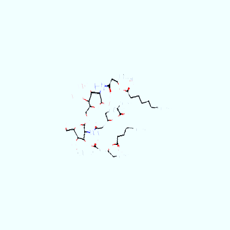 CCCCCCCCCCCCCCCC(=O)O[C@H](CCCCCCCCC)CC(=O)NC1C(O)OC(COC2OC(CO)C(OC=O)C(OC(=O)C[C@@H](CCCCCCCCCCC)OC(=O)CCCCCCCCCCCCC)C2NC(=O)C[C@@H](CCCCCCCCCCC)OC(=O)CCCCCCCCCCC)C(O)C1O